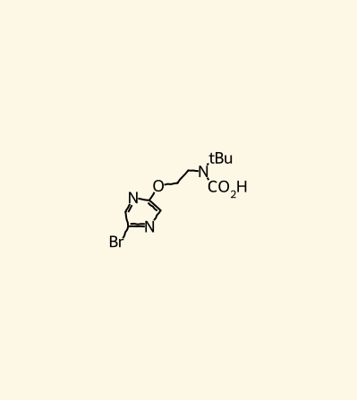 CC(C)(C)N(CCOc1cnc(Br)cn1)C(=O)O